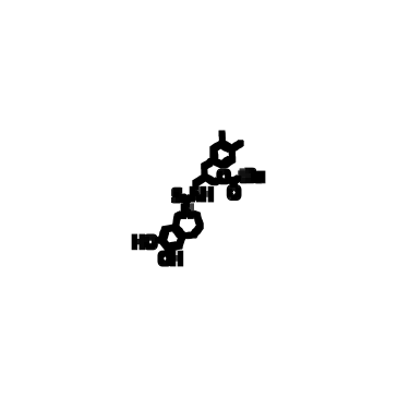 Cc1ccc(CC(CNC(=S)N2CCCc3cc(O)c(O)cc3C2)COC(=O)C(C)(C)C)cc1C